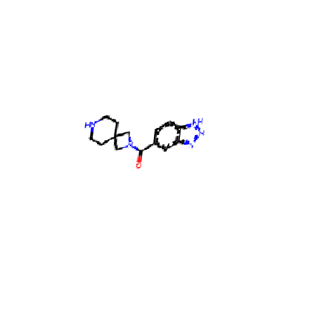 O=C(c1ccc2[nH]nnc2c1)N1CC2(CCNCC2)C1